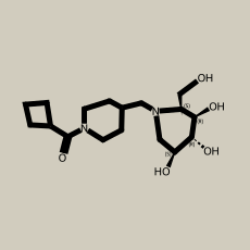 O=C(C1CCC1)N1CCC(CN2C[C@H](O)[C@@H](O)[C@H](O)[C@@H]2CO)CC1